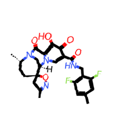 CC1=NO[C@]2(CC[C@H](C)N3C[C@H]2n2cc(C(=O)NCc4c(F)cc(C)cc4F)c(=O)c(O)c2C3=O)C1